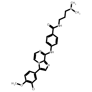 COc1ccc(-c2cnc3c(Nc4ccc(C(=O)NCCCN(C)C)cc4)nccn23)cc1Cl